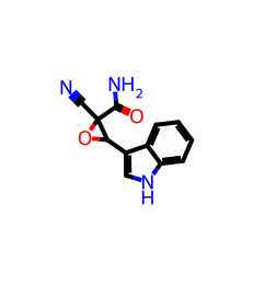 N#CC1(C(N)=O)OC1c1c[nH]c2ccccc12